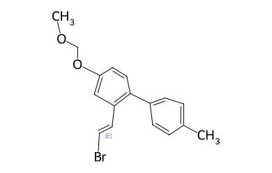 COCOc1ccc(-c2ccc(C)cc2)c(/C=C/Br)c1